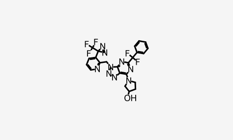 OC1CCN(c2nc(C(F)(F)c3ccccc3)nc3c2nnn3Cc2ncccc2C2(C(F)(F)F)N=N2)C1